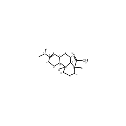 CC(C)C1=CC2CCC3C(C)(C(=O)O)CCCC3(C)C2CC1